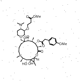 COC(=O)CCO[C@H]1[C@H](O[C@@H]2[C@@H](C)[C@H](OC(=O)Cc3ccc(OC)cc3)[C@@H](C)C(=O)O[C@@H]3C(C)[C@]3(O)[C@H](O)[C@@H](C)N(C)C[C@H](C)C[C@]2(C)O)O[C@H](C)C[C@@H]1N(C)C